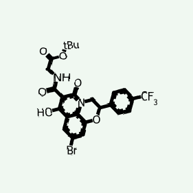 CC(C)(C)OC(=O)CNC(=O)c1c(O)c2cc(Br)cc3c2n(c1=O)CC(c1ccc(C(F)(F)F)cc1)O3